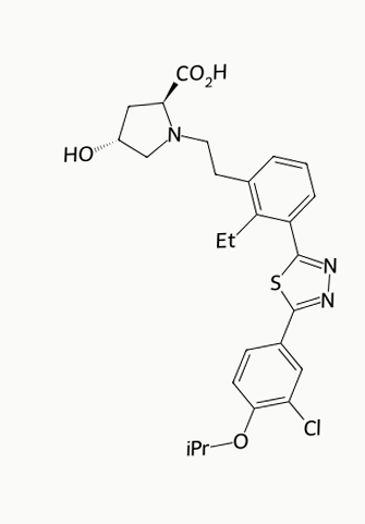 CCc1c(CCN2C[C@H](O)C[C@H]2C(=O)O)cccc1-c1nnc(-c2ccc(OC(C)C)c(Cl)c2)s1